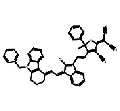 CC1(c2ccccc2)OC(=C(C#N)C#N)C(C#N)=C1/C=C/C1=C(Cl)C(=C\C=C2/CCCc3c2c2ccccc2n3Cc2ccccc2)/c2ccccc21